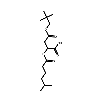 CC(C)CCCC(=O)NC(CC(=O)OCC(C)(C)C)C(=O)O